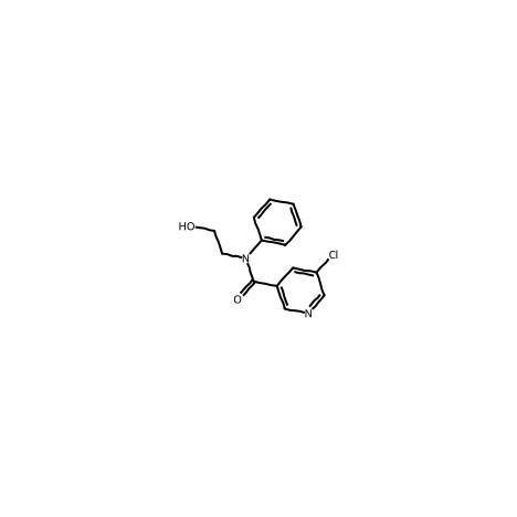 O=C(c1cncc(Cl)c1)N(CCO)c1ccccc1